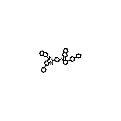 c1ccc(-c2ccc(-c3cccc4c3c3cc5ccccc5cc3n4-c3ccc(-c4nc(-c5ccc6ccccc6c5)c5ccc(-c6ccccc6)cc5n4)cc3)cc2)cc1